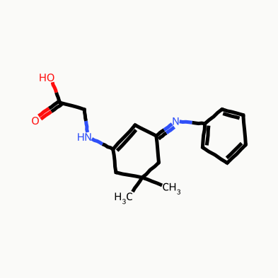 CC1(C)CC(NCC(=O)O)=CC(=Nc2ccccc2)C1